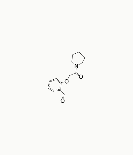 O=Cc1ccccc1OCC(=O)N1CCCCC1